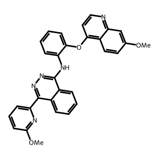 COc1ccc2c(Oc3ccccc3Nc3nnc(-c4cccc(OC)n4)c4ccccc34)ccnc2c1